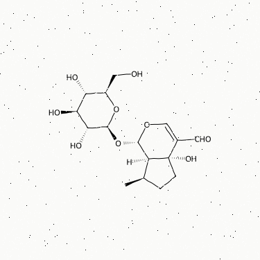 C[C@@H]1CC[C@]2(O)C(C=O)=CO[C@@H](O[C@@H]3O[C@H](CO)[C@@H](O)[C@H](O)[C@H]3O)[C@H]12